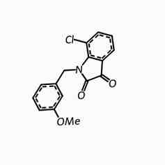 COc1cccc(CN2C(=O)C(=O)c3cccc(Cl)c32)c1